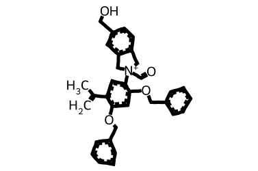 C=C(C)c1cc([N+]2(C=O)Cc3ccc(CO)cc3C2)c(OCc2ccccc2)cc1OCc1ccccc1